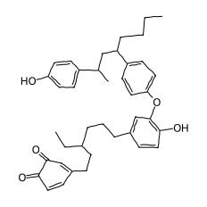 CCCCC(CC(C)c1ccc(O)cc1)c1ccc(Oc2cc(CCCC(CC)CCC3=CC(=O)C(=O)C=C3)ccc2O)cc1